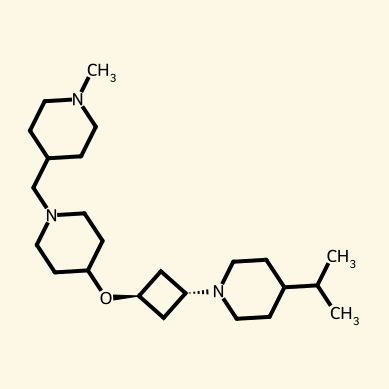 CC(C)C1CCN([C@H]2C[C@H](OC3CCN(CC4CCN(C)CC4)CC3)C2)CC1